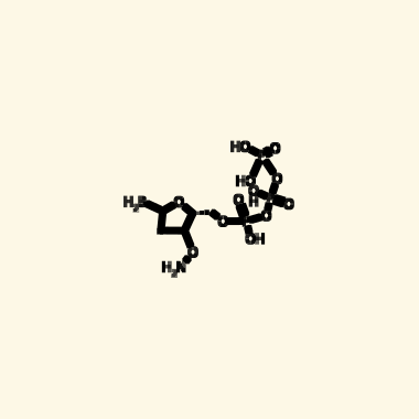 BC1CC(ON)[C@@H](COP(=O)(O)OP(=O)(O)OP(=O)(O)O)O1